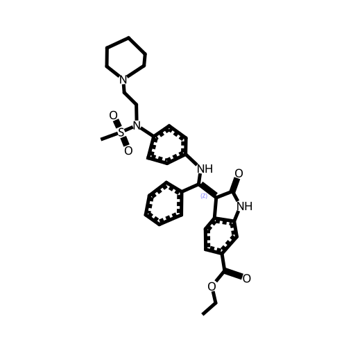 CCOC(=O)c1ccc2c(c1)NC(=O)/C2=C(\Nc1ccc(N(CCN2CCCCC2)S(C)(=O)=O)cc1)c1ccccc1